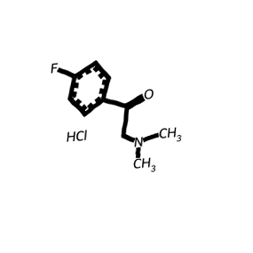 CN(C)CC(=O)c1ccc(F)cc1.Cl